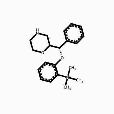 C[N+](C)(C)c1ccccc1O[C@@H](c1ccccc1)C1CNCCO1